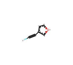 FC#Cc1[c]occ1